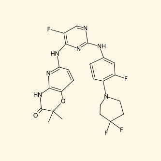 CC1(C)Oc2ccc(Nc3nc(Nc4ccc(N5CCC(F)(F)CC5)c(F)c4)ncc3F)nc2NC1=O